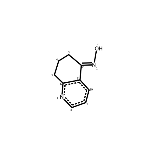 ON=C1CCCc2ncccc21